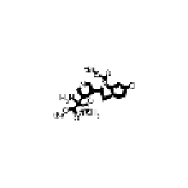 CC(C)(C)OC(=O)n1c(-c2cncc(C(N)(C(=O)OC(C)(C)C)S(C)(=O)=O)c2)cc2ccc(Cl)cc21